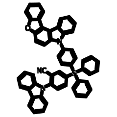 N#Cc1cc([Si](c2ccccc2)(c2ccccc2)c2ccc(-n3c4ccccc4c4c5c(ccc43)oc3ccccc35)cc2)ccc1-n1c2ccccc2c2ccccc21